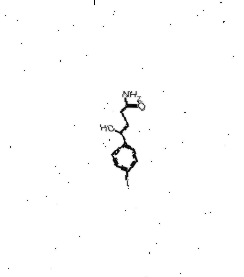 NC(=O)CCC(O)c1ccc(I)cc1